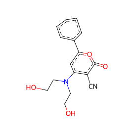 N#Cc1c(N(CCO)CCO)cc(-c2ccccc2)oc1=O